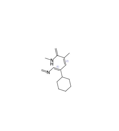 C=N/C=C(/C=C(/C)C(=C)NC)C1CCCCC1